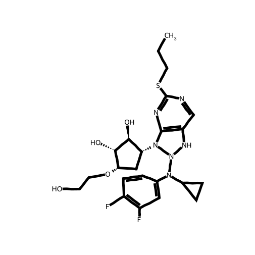 CCCSc1ncc2c(n1)N([C@@H]1C[C@H](OCCO)[C@H](O)[C@H]1O)N(N(c1ccc(F)c(F)c1)C1CC1)N2